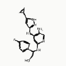 O=[N+]([O-])c1cnc(NC(CO)c2ccc(F)cc2)cc1Nc1cc(C2CC2)[nH]n1